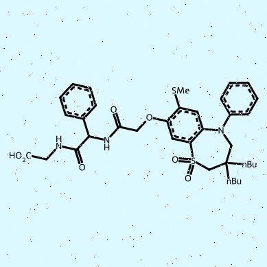 CCCCC1(CCCC)CN(c2ccccc2)c2cc(SC)c(OCC(=O)NC(C(=O)NCC(=O)O)c3ccccc3)cc2S(=O)(=O)C1